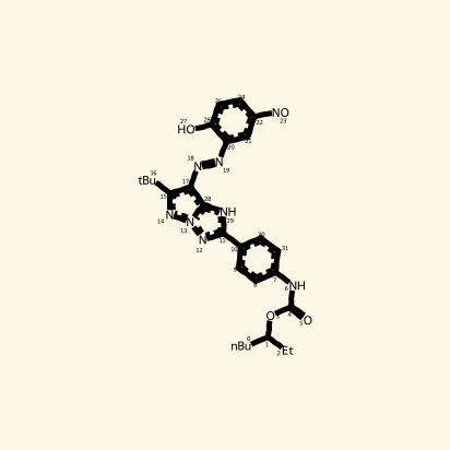 CCCCC(CC)OC(=O)Nc1ccc(-c2nn3nc(C(C)(C)C)c(N=Nc4cc(N=O)ccc4O)c3[nH]2)cc1